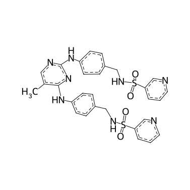 Cc1cnc(Nc2ccc(CNS(=O)(=O)c3cccnc3)cc2)nc1Nc1ccc(CNS(=O)(=O)c2cccnc2)cc1